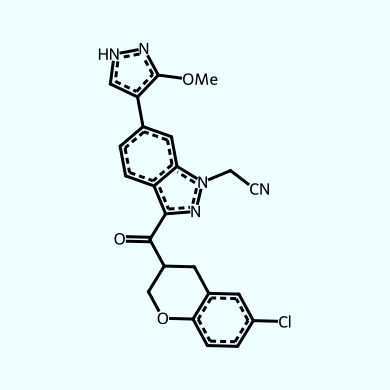 COc1n[nH]cc1-c1ccc2c(C(=O)C3COc4ccc(Cl)cc4C3)nn(CC#N)c2c1